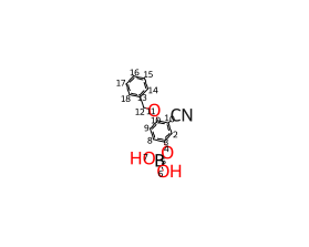 N#Cc1cc(OB(O)O)ccc1OCc1ccccc1